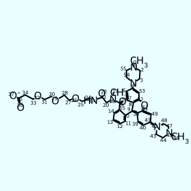 CN1CCN(c2ccc3c(-c4ccccc4C(=O)N(C)CC(=O)NCCOCCOCCOCCC(=O)[O-])c4ccc(=[N+]5CCN(C)CC5)cc-4oc3c2)CC1